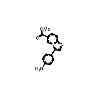 COC(=O)c1ccc2ncc(-c3ccc(N)cc3)n2c1